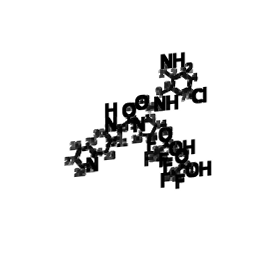 NCc1ccc(Cl)cc1CNC(=O)[C@@H]1CCCN1C(=O)c1cc(Cc2ccccn2)c[nH]1.O=C(O)C(F)(F)F.O=C(O)C(F)(F)F